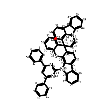 c1ccc(-c2cc(-c3ccccc3)nc(-n3c4ccccc4c4ccc5c(c43)Sc3ccccc3C53c4ccccc4-n4c5ccccc5c5cccc3c54)n2)cc1